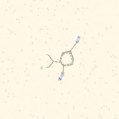 [CH2]C(CF)c1cc(C#N)ccc1C#N